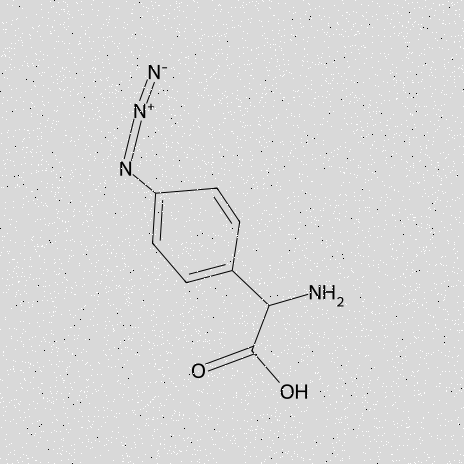 [N-]=[N+]=Nc1ccc(C(N)C(=O)O)cc1